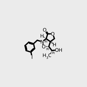 C[C@@H](O)[C@@H]1ON(Cc2cccc(I)c2)[C@H]2C(=O)OC[C@@H]12